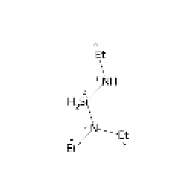 CCN[SiH2]N(CC)CC